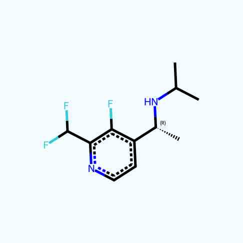 CC(C)N[C@H](C)c1ccnc(C(F)F)c1F